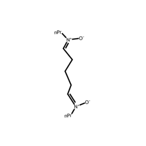 CCC/[N+]([O-])=C/CCC/C=[N+](\[O-])CCC